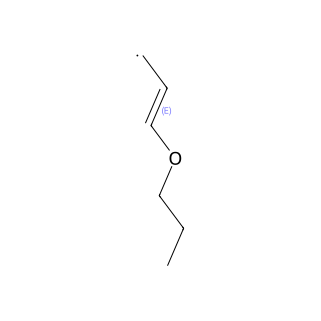 [CH2]/C=C/OCCC